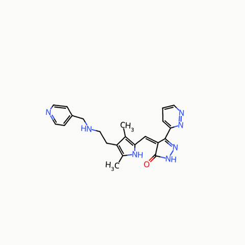 Cc1[nH]c(C=C2C(=O)NN=C2c2cccnn2)c(C)c1CCNCc1ccncc1